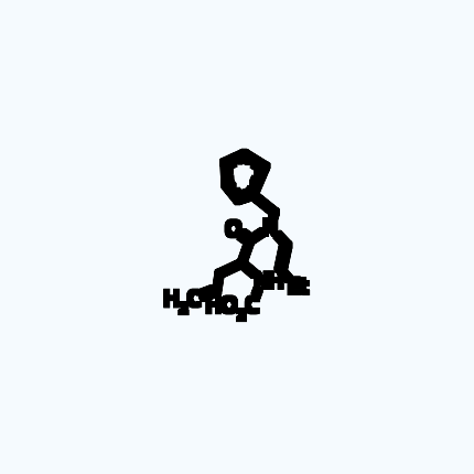 C=CCC(NC(=O)O)C(=O)N(C=CCC)Cc1ccccc1